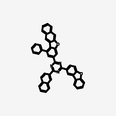 c1ccc(-c2cc(-c3nc(-c4ccc5ccccc5c4)nc(-c4ccc5oc6ccccc6c5c4)n3)cc3oc4cc5ccccc5cc4c23)cc1